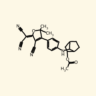 CC(=O)OC1CC2CCC1C2Nc1ccc(C2=C(C#N)C(=C(C#N)C#N)OC2(C)C)cc1